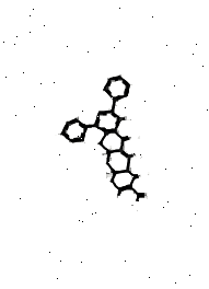 NC(=O)C1=C(O)C[C@@H]2C[C@@H]3Cc4c(-c5ccccc5)cc(-c5ccccc5)c(O)c4C(=O)C3=C(O)C2C1=O